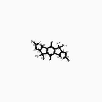 Cc1c2c(c(C)c3c1C(F)(F)c1cc(F)sc1-3)C(F)(F)c1cc(F)sc1-2